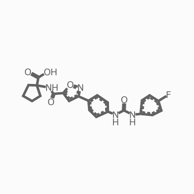 O=C(Nc1ccc(F)cc1)Nc1ccc(-c2cc(C(=O)NC3(C(=O)O)CCCC3)on2)cc1